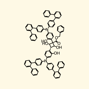 O=C(OCc1ccccc1)C1(c2ccc(N(c3ccc(-c4ccccc4-c4ccccc4)cc3)c3ccc(-c4ccccc4-c4ccccc4)cc3)cc2O)C(O)[C@@H](c2ccc(N(c3ccc(-c4ccccc4-c4ccccc4)cc3)c3ccc(-c4ccccc4-c4ccccc4)cc3)cc2O)[C@H]1O